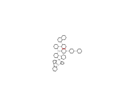 c1ccc(-c2ccc(-c3ccc(N(c4ccccc4-c4ccccc4-c4cccc5ccccc45)c4cccc5c4-c4ccccc4C54c5ccccc5-n5c6ccccc6c6cccc4c65)cc3)cc2)cc1